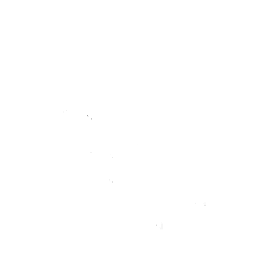 CC(C)(C)C1C=C(NC(=O)[C@@H]2CCC(=O)N2c2ccc(F)c(F)c2)ON1